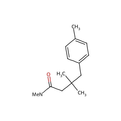 CNC(=O)CC(C)(C)Cc1ccc(C)cc1